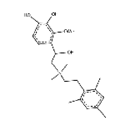 COc1c(C(O)C[N+](C)(C)CCc2c(C)cc(C)cc2C)ccc(O)c1O